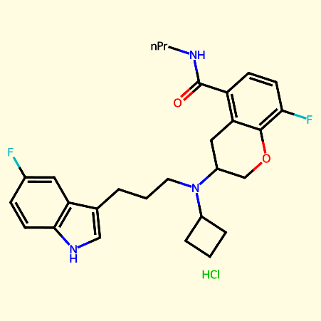 CCCNC(=O)c1ccc(F)c2c1CC(N(CCCc1c[nH]c3ccc(F)cc13)C1CCC1)CO2.Cl